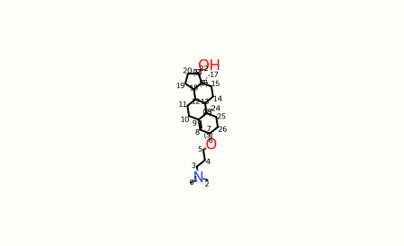 CN(C)CCCO[C@@H]1C=C2CCC3C(CC[C@@]4(C)C3CC[C@@H]4O)[C@@]2(C)CC1